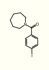 O=C(c1ccc(I)cc1)N1CCCCCC1